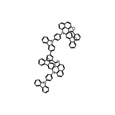 c1ccc(-c2nc3c(ccc4cccc(N(c5ccc(-n6c7ccccc7c7cc(-c8cccc(-c9nc%10ccc%11cccc(N(c%12ccc(-n%13c%14ccccc%14c%14ccccc%14%13)cc%12)c%12ccc%13oc%14ccccc%14c%13c%12)c%11c%10o9)c8)ccc76)cc5)c5ccc6oc7ccccc7c6c5)c43)o2)cc1